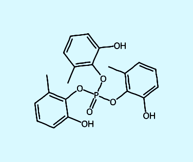 Cc1cccc(O)c1OP(=O)(Oc1c(C)cccc1O)Oc1c(C)cccc1O